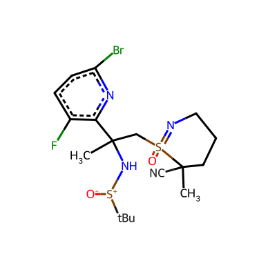 CC(CS1(=O)=NCCCC1(C)C#N)(N[S+]([O-])C(C)(C)C)c1nc(Br)ccc1F